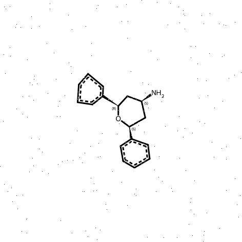 N[C@H]1C[C@@H](c2ccccc2)O[C@@H](c2ccccc2)C1